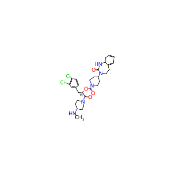 CNC1CCN(C(=O)[C@@H](Cc2ccc(Cl)c(Cl)c2)OC(=O)N2CCC(N3CCc4ccccc4NC3=O)CC2)CC1